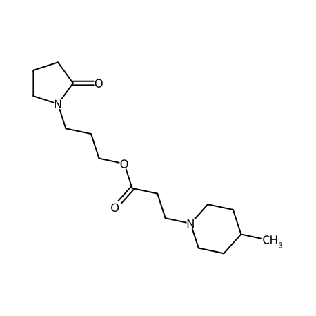 CC1CCN(CCC(=O)OCCCN2CCCC2=O)CC1